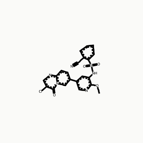 COc1ncc(-c2ccc3ncc(Cl)c(=O)n3c2)cc1NS(=O)(=O)c1ccccc1C#N